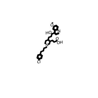 COc1ccc2nccc([C@@H](O)CCC3CCN(CCCCc4ccc(Cl)cc4)CC3CCC(=O)O)c2c1